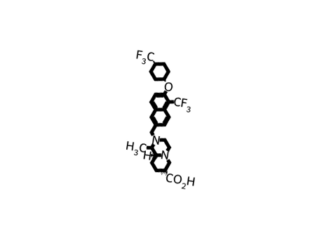 CC1[C@H]2CC[C@@H](C(=O)O)CN2CCN1Cc1ccc2c(C(F)(F)F)c(O[C@H]3CC[C@@H](C(F)(F)F)CC3)ccc2c1